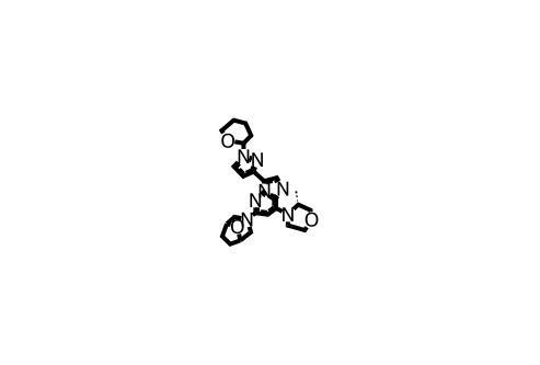 C[C@@H]1COCCN1c1cc(N2CC3CCC(C2)O3)nn2c(-c3ccn(C4CCCCO4)n3)cnc12